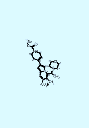 Cc1c(C(=O)O)cc2cc(C3=CCN(C(=O)OC(C)(C)C)CC3)cn2c1C(C)N1CCOCC1